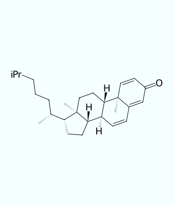 CC(C)CCC[C@@H](C)[C@H]1CC[C@H]2[C@@H]3C=CC4=CC(=O)C=C[C@]4(C)[C@H]3CC[C@]12C